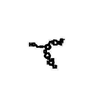 CCc1cnc(N2CCC(Oc3ccc(CN4CCN([S+](C)[O-])CC4)cc3C#CCCO)CC2)nc1